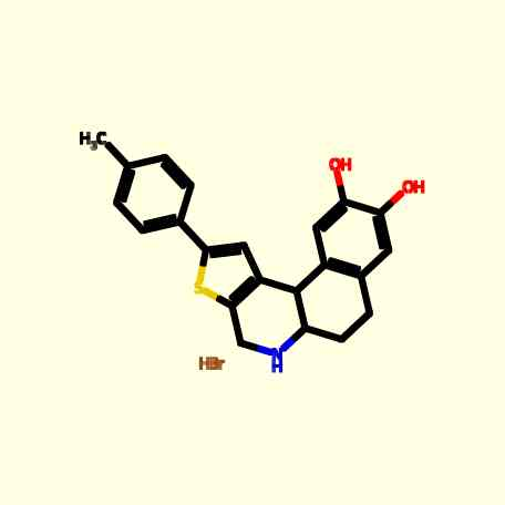 Br.Cc1ccc(-c2cc3c(s2)CNC2CCc4cc(O)c(O)cc4C32)cc1